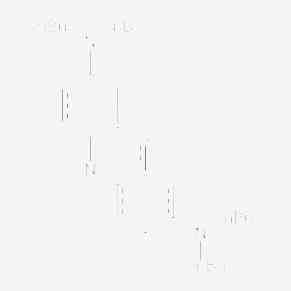 CCCCN(CCCC)c1ccc2nc3ccc(N(CCCC)CCCC)cc3[s+]c2c1.[Br-]